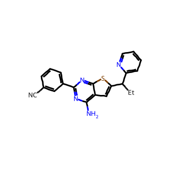 CCC(c1ccccn1)c1cc2c(N)nc(-c3cccc(C#N)c3)nc2s1